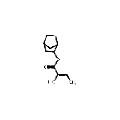 CC=C(C)C(=O)OC1CC2CCC1C2